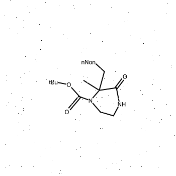 CCCCCCCCCCC1(C)C(=O)NCCN1C(=O)OC(C)(C)C